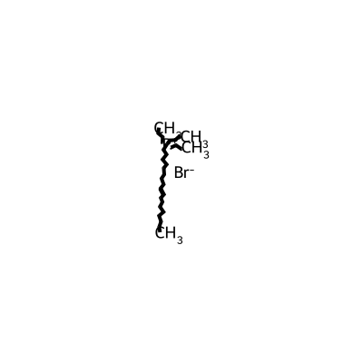 CCCCCCCCC=CCCCCCCCC[P+](CCCC)(CCCC)CCCC.[Br-]